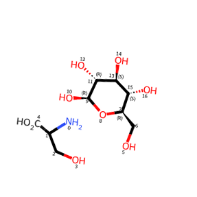 NC(CO)C(=O)O.OC[C@H]1O[C@@H](O)[C@H](O)[C@@H](O)[C@@H]1O